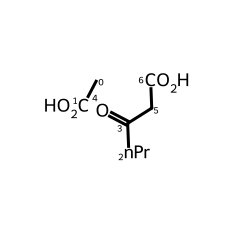 CC(=O)O.CCCC(=O)CC(=O)O